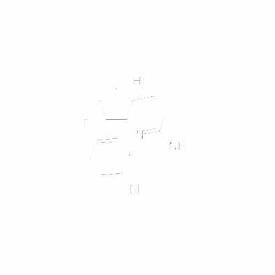 Bc1ccc(F)c([C@]23CCC[C@H]2CSC(N)=N3)c1